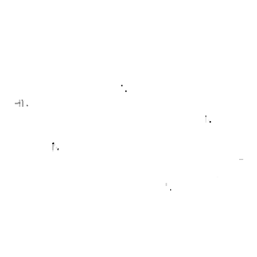 CC(C)c1cnc(-c2ncccc2F)cc1Nc1ccnc2[nH]ccc12